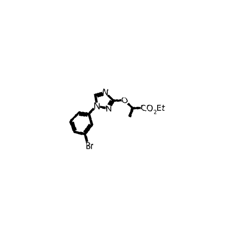 CCOC(=O)C(C)Oc1ncn(-c2cccc(Br)c2)n1